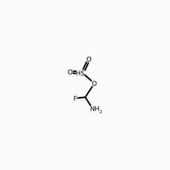 NC(F)O[SH](=O)=O